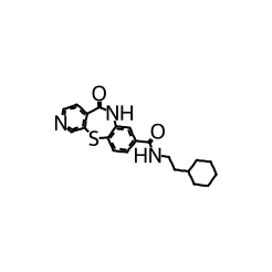 O=C(NCCC1CCCCC1)c1ccc2c(c1)NC(=O)c1ccncc1S2